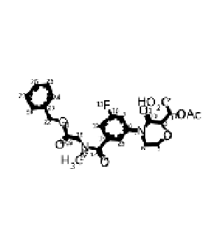 CC(=O)O[C@@H](C(=O)O)[C@H]1OCCN(c2cc(F)cc(C(=O)N(C)CC(=O)OCc3ccccc3)c2)C1=O